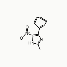 Cc1nc(-c2ccccc2)c([N+](=O)[O-])[nH]1